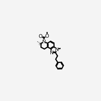 COC(=O)N1c2ccc3c(nc(CCc4ccccc4)n3C)c2CC[C@@H]1C